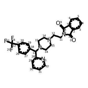 O=C1c2ccccc2C(=O)N1CCN1CCN(C(c2ccc(C(F)(F)F)cc2)c2ccccn2)CC1